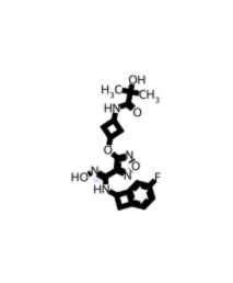 CC(C)(O)C(=O)NC1CC(Oc2nonc2/C(=N/O)NC2Cc3ccc(F)cc32)C1